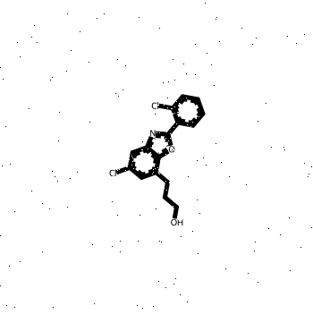 OCCCc1cc(Cl)cc2nc(-c3ccccc3Cl)oc12